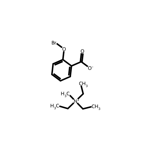 CC[N+](C)(CC)CC.O=C([O-])c1ccccc1OBr